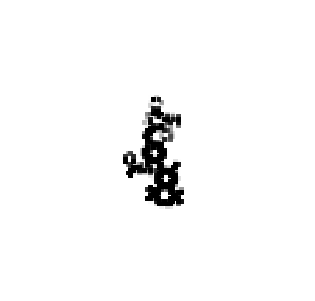 CC(=O)Nc1cc(C=C2SC(=O)NC2=O)ccc1-c1cc2c(cc1C)C(C)(C)CCC2(C)C